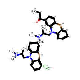 CC(CN1c2ccccc2Sc2ccccc21)N(C)C.CCC(=O)c1ccc2c(c1)N(CC(C)N(C)C)c1ccccc1S2.Cl.Cl